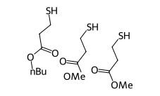 CCCCOC(=O)CCS.COC(=O)CCS.COC(=O)CCS